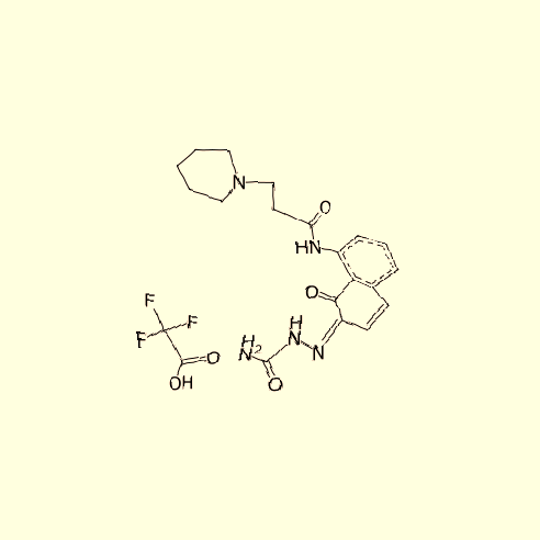 NC(=O)NN=C1C=Cc2cccc(NC(=O)CCN3CCCCC3)c2C1=O.O=C(O)C(F)(F)F